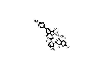 CC(=O)c1nn(CC(=O)N2[C@H](C(=O)Nc3nc(Br)ccc3CN(C)C)C[C@@]3(C)C[C@@H]23)c2c(Cl)cc(-c3cnc(C)nc3)cc12